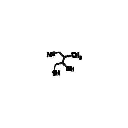 CC(CS)C(S)CS